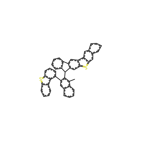 Cc1c(C2c3ccccc3-c3cc4c(cc32)sc2cc3ccccc3cc24)c(-c2cccc3sc4ccccc4c23)cc2ccccc12